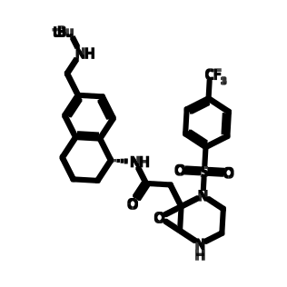 CC(C)(C)NCc1ccc2c(c1)CCC[C@H]2NC(=O)CC12OC1NCCN2S(=O)(=O)c1ccc(C(F)(F)F)cc1